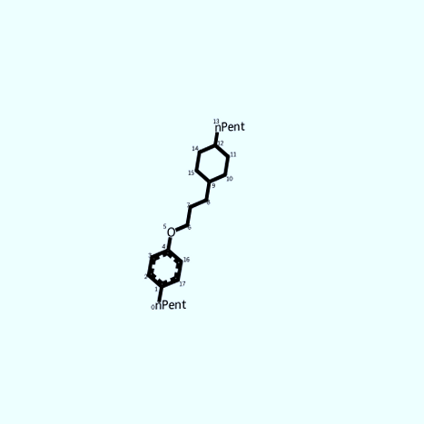 CCCCCc1ccc(OCCCC2CCC(CCCCC)CC2)cc1